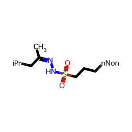 CCCCCCCCCCCCS(=O)(=O)NN=C(C)CC(C)C